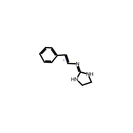 C(=C\c1ccccc1)/N=C1NCCN1